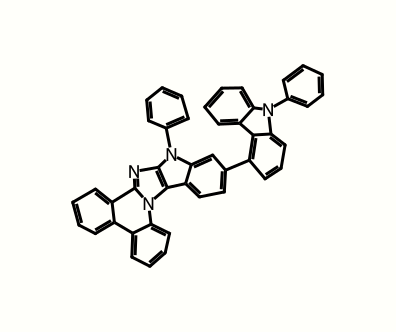 c1ccc(-n2c3ccccc3c3c(-c4ccc5c(c4)n(-c4ccccc4)c4nc6c7ccccc7c7ccccc7n6c54)cccc32)cc1